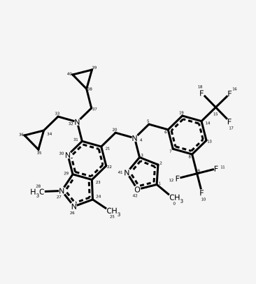 Cc1cc(N(Cc2cc(C(F)(F)F)cc(C(F)(F)F)c2)Cc2cc3c(C)nn(C)c3nc2N(CC2CC2)CC2CC2)no1